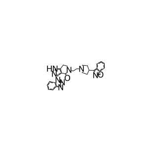 O=C1c2c(-n3nnc4ccccc43)n[nH]c2CCN1CCN1CCC(c2noc3ccccc23)CC1